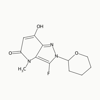 Cn1c(=O)cc(O)c2nn(C3CCCCO3)c(F)c21